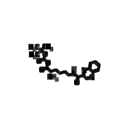 CC(C)(C)OC(=O)OC(=O)[C@@H](N)CCCCNC(=O)c1cnc2ccccc2n1